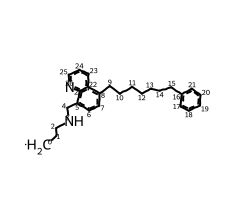 [CH2]CCNCc1ccc(CCCCCCCc2ccccc2)c2cccnc12